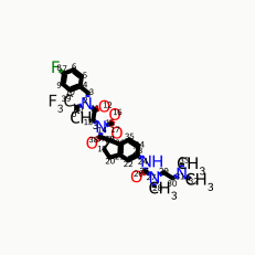 C[C@H](N(Cc1ccc(F)cc1)C(=O)CN1C(=O)O[C@@]2(CCc3cc(NC(=O)N(C)CCN(C)C)ccc32)C1=O)C(F)(F)F